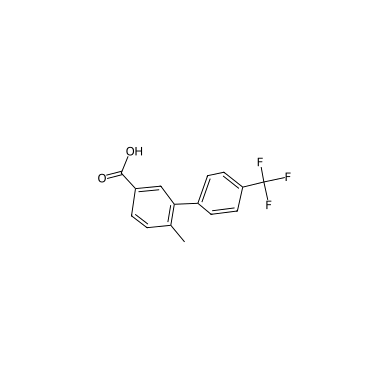 Cc1ccc(C(=O)O)cc1-c1ccc(C(F)(F)F)cc1